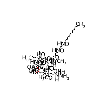 CCCCCCCCCCCC(=O)NCCC(=O)NCCCC[C@H](NC(C)=O)C(=O)NC(Cc1ccc(O)cc1)C(=O)N[C@@H](CO)C(=O)N[C@@H](CCCC)C(=O)N[C@@H](CCC(=O)O)C(=O)NC(CO)C(=O)N[C@H](Cc1ccccc1)C(=O)N[C@@H](CCCNC(=N)N)C(C)=O